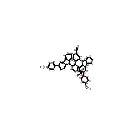 Cc1ccc(-c2ccc3c(c2)c2ccccc2n3-c2ccc(C(F)(F)F)cc2-c2ccc(C#N)cc2-n2c3ccccc3c3cc(-c4ccc(C)cc4)ccc32)cc1